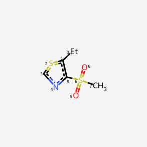 CCc1scnc1S(C)(=O)=O